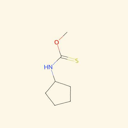 COC(=S)NC1CCCC1